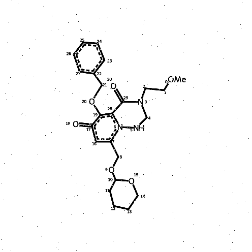 COCCN1CNn2c(COC3CCCCO3)cc(=O)c(OCc3ccccc3)c2C1=O